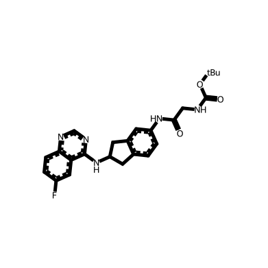 CC(C)(C)OC(=O)NCC(=O)Nc1ccc2c(c1)CC(Nc1ncnc3ccc(F)cc13)C2